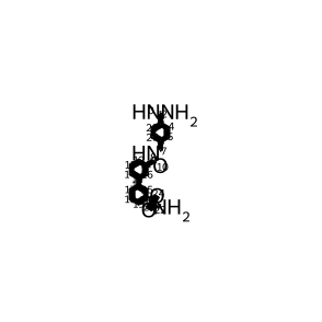 N=C(N)c1ccc(CNC(=O)c2cccc(-c3cccc(S(N)(=O)=O)c3)c2)cc1